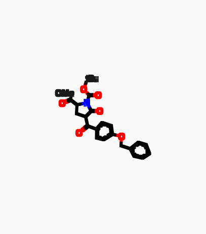 COC(=O)C1CC(C(=O)c2ccc(OCc3ccccc3)cc2)C(=O)N1C(=O)OC(C)(C)C